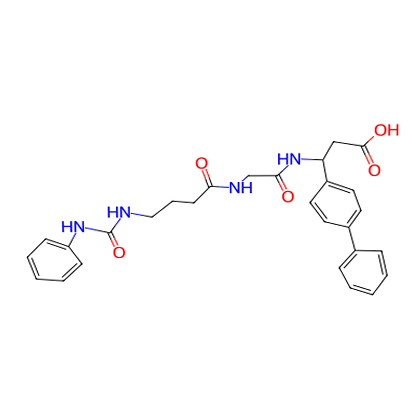 O=C(O)CC(NC(=O)CNC(=O)CCCNC(=O)Nc1ccccc1)c1ccc(-c2ccccc2)cc1